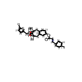 Cc1ccc(/C=C/C(=O)Oc2ccc3c(c2)C[C@H]2CC[C@@H](C3)[C@H]2NCc2ccc(C)s2)cc1